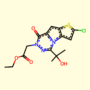 CCOC(=O)Cn1nc(C(C)(C)O)n2c(cc3sc(Cl)cc32)c1=O